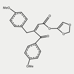 COc1ccc(CC(=CC(=O)OC2=COCO2)C(=O)c2ccc(OC)cc2)cc1